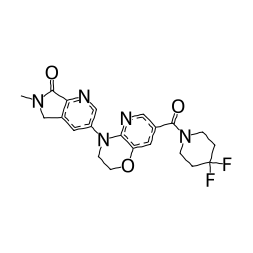 CN1Cc2cc(N3CCOc4cc(C(=O)N5CCC(F)(F)CC5)cnc43)cnc2C1=O